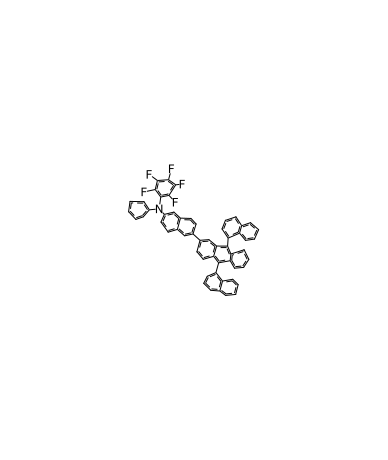 Fc1c(F)c(F)c(N(c2ccccc2)c2ccc3cc(-c4ccc5c(-c6cccc7ccccc67)c6ccccc6c(-c6cccc7ccccc67)c5c4)ccc3c2)c(F)c1F